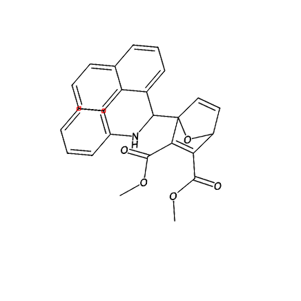 COC(=O)C1=C(C(=O)OC)C2(C(Nc3ccccc3)c3cccc4ccccc34)C=CC1O2